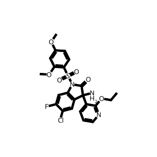 CCOc1ncccc1C1(N)C(=O)N(S(=O)(=O)c2ccc(OC)cc2OC)c2cc(F)c(Cl)cc21